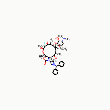 CC[C@@H]1OC(=O)C(C)(F)C(=O)[C@@H](C)[C@H](O[C@@H]2O[C@H](C)C[C@H](N(C)C)[C@@H]2O)C(C)(OC)C[C@H](C)C(=O)[C@H](C)[C@H]2N(C3CN(C(c4ccccc4)c4ccccc4)C3)C(=O)O[C@@]12C